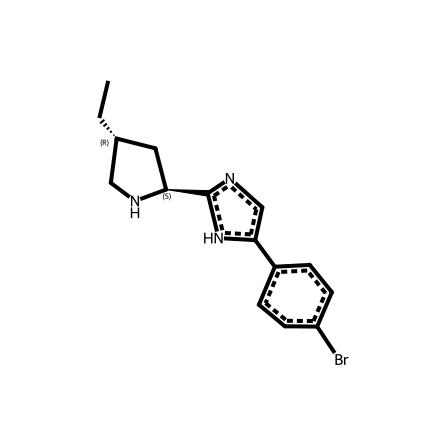 CC[C@H]1CN[C@H](c2ncc(-c3ccc(Br)cc3)[nH]2)C1